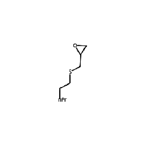 CCCCCSCC1CO1